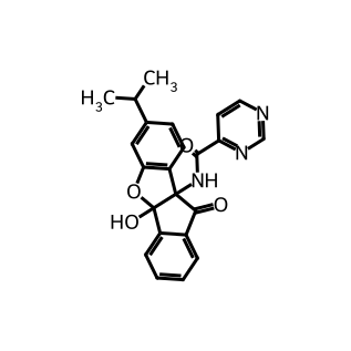 CC(C)c1ccc2c(c1)OC1(O)c3ccccc3C(=O)C21NC(=O)c1ccncn1